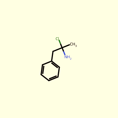 CC(N)(Cl)Cc1ccccc1